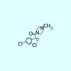 CN1CCN(C(=O)C2(c3ccc(Cl)cc3Cl)CC2)CC1